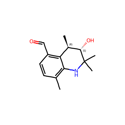 Cc1ccc(C=O)c2c1NC(C)(C)[C@@H](O)[C@@H]2C